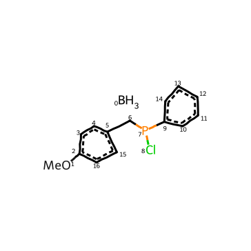 B.COc1ccc(CP(Cl)c2ccccc2)cc1